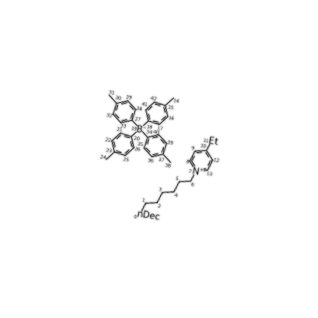 CCCCCCCCCCCCCCCC[n+]1ccc(CC)cc1.Cc1ccc([B-](c2ccc(C)cc2)(c2ccc(C)cc2)c2ccc(C)cc2)cc1